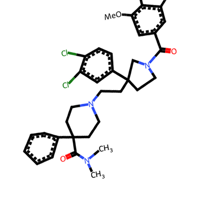 COc1cc(C(=O)N2CCC(CCN3CCC(C(=O)N(C)C)(c4ccccc4)CC3)(c3ccc(Cl)c(Cl)c3)C2)cc(OC)c1OC